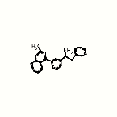 Cc1cc2ccccc2c(-c2cccc(C(N)Cc3ccccc3)c2)n1